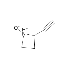 C#CC1CC[NH+]1[O-]